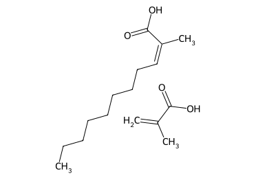 C=C(C)C(=O)O.CCCCCCCCC=C(C)C(=O)O